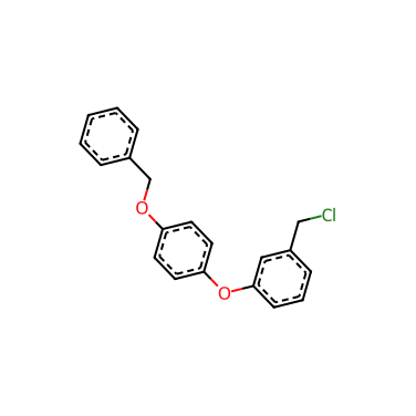 ClCc1cccc(Oc2ccc(OCc3ccccc3)cc2)c1